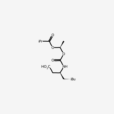 CC[C@@H](C)C[C@@H](CC(=O)O)NC(=O)O[C@H](C)OC(=O)C(C)C